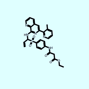 C=CC(Nc1nc(-c2ncccc2C)cc2cccnc12)S(=O)(=O)c1ccc(NC(=O)CC(=O)OCC)cc1